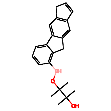 CC(C)(O)C(C)(C)OBc1cccc2c1Cc1cc3c(cc1-2)CC=C3